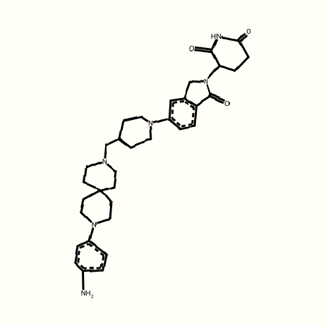 Nc1ccc(N2CCC3(CCN(CC4CCN(c5ccc6c(c5)CN(C5CCC(=O)NC5=O)C6=O)CC4)CC3)CC2)cc1